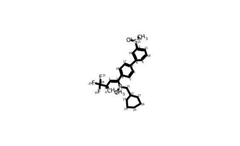 C=C(/C=C(/c1ccc(-c2cccc([S+](C)[O-])c2)cc1)N(C)CC1CCCCC1)C(F)(F)F